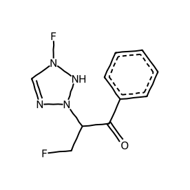 O=C(c1ccccc1)C(CF)N1N=CN(F)N1